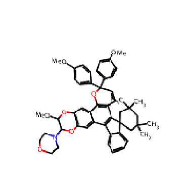 COc1ccc(C2(c3ccc(OC)cc3)C=Cc3c4c(c5cc6c(cc5c3O2)OC(OC)C(N2CCOCC2)O6)-c2ccccc2C42CC(C)(C)CC(C)(C)C2)cc1